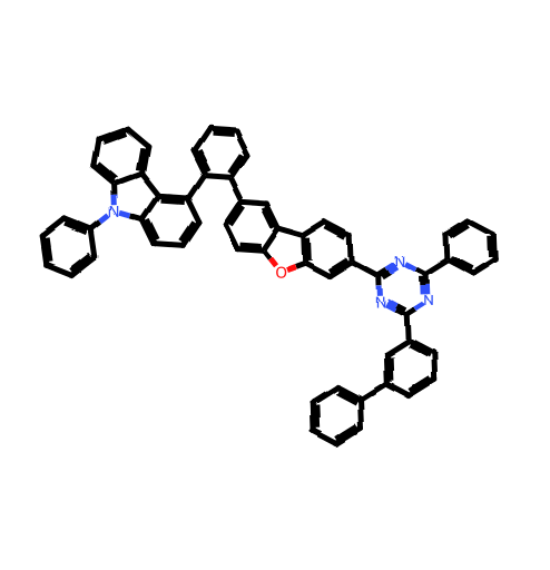 c1ccc(-c2cccc(-c3nc(-c4ccccc4)nc(-c4ccc5c(c4)oc4ccc(-c6ccccc6-c6cccc7c6c6ccccc6n7-c6ccccc6)cc45)n3)c2)cc1